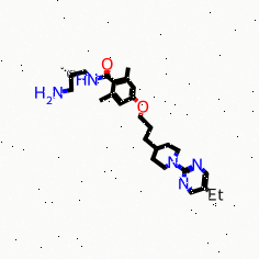 CCc1cnc(N2CCC(CCCOc3cc(C)c(C(=O)NC[C@@H](C)CN)c(C)c3)CC2)nc1